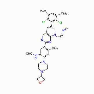 C=N/C=C\N1CC(c2c(Cl)c(OC)cc(OC)c2Cl)=Cc2cnc(-c3cc(NC=O)c(N4CCN(C5COC5)CC4)cc3OC)nc21